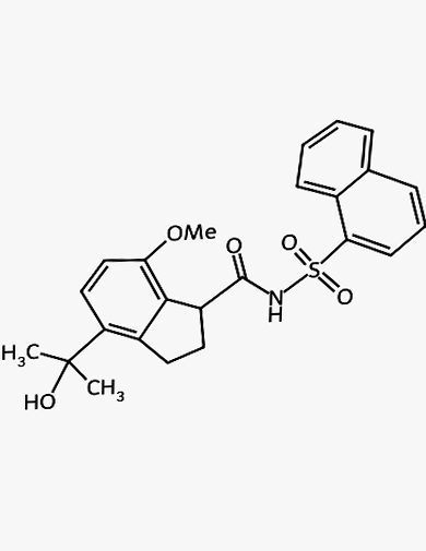 COc1ccc(C(C)(C)O)c2c1C(C(=O)NS(=O)(=O)c1cccc3ccccc13)CC2